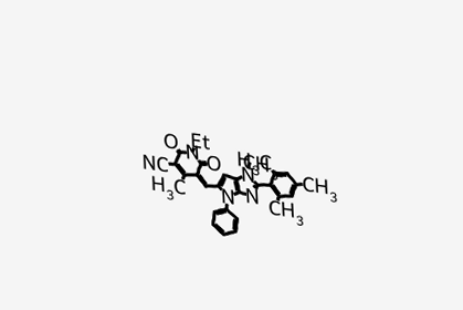 CCN1C(=O)C(C#N)=C(C)/C(=C/c2cc3c(nc(-c4c(C)cc(C)cc4C)n3C)n2-c2ccccc2)C1=O